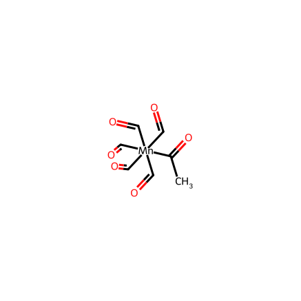 C[C](=O)[Mn]([CH]=O)([CH]=O)([CH]=O)([CH]=O)[CH]=O